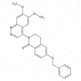 COc1cc2nncc(N3CCc4cc(OCc5ccccc5)ccc4C3=O)c2cc1OC